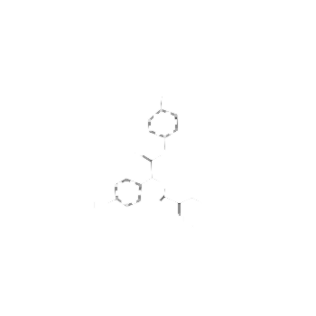 C=C(CC(=O)O)C(=O)OC(C(=O)Oc1ccc(C)cc1)c1ccc(C)cc1